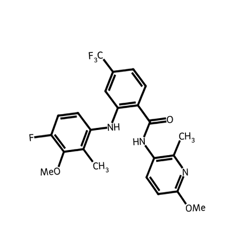 COc1ccc(NC(=O)c2ccc(C(F)(F)F)cc2Nc2ccc(F)c(OC)c2C)c(C)n1